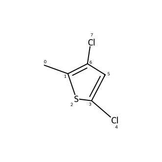 Cc1sc(Cl)cc1Cl